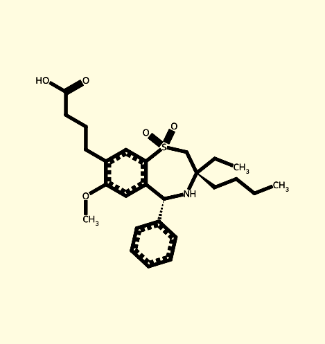 CCCC[C@]1(CC)CS(=O)(=O)c2cc(CCCC(=O)O)c(OC)cc2[C@@H](c2ccccc2)N1